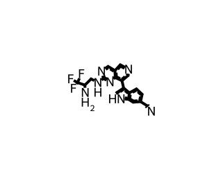 N#Cc1ccc2c(-c3cncc4cnc(NCC(N)C(F)(F)F)nc34)c[nH]c2c1